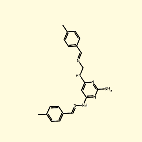 Cc1ccc(/C=N/CNc2cc(N/N=C/c3ccc(C)cc3)nc(N)n2)cc1